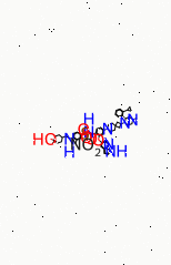 CN1CCN(C2CC3(CCN(c4ccc(C(=O)NS(=O)(=O)c5ccc(NCC6CCC(C)(O)CC6)c([N+](=O)[O-])c5)c(Oc5cnc6[nH]ccc6c5)c4)CC3)C2)[C@@H](c2ccccc2C2CC2)C1